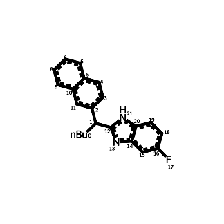 CCCCC(c1ccc2ccccc2c1)c1nc2cc(F)ccc2[nH]1